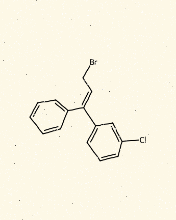 Clc1cccc(/C(=C/CBr)c2ccccc2)c1